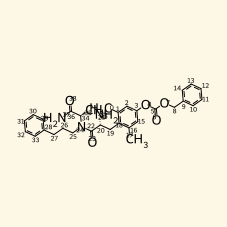 Cc1cc(OC(=O)OCc2ccccc2)cc(C)c1C[C@@H](N)C(=O)N(CCCc1ccccc1)[C@H](C)C(N)=O